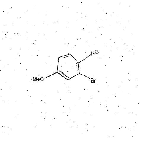 COc1ccc(N=O)c(Br)c1